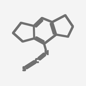 S=C=Nc1c2c(cc3c1CCC3)CCC2